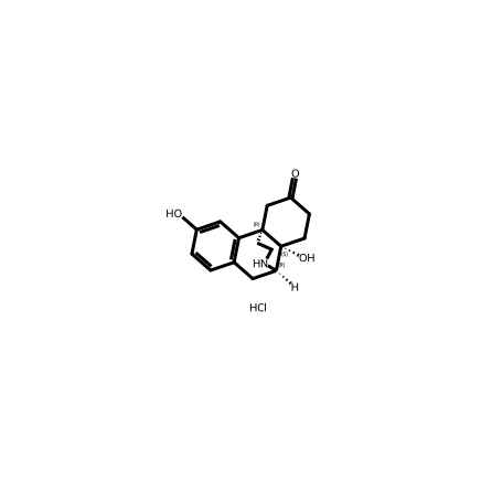 Cl.O=C1CC[C@@]2(O)[C@H]3Cc4ccc(O)cc4[C@@]2(CCN3)C1